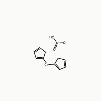 C1=CC[C]([Ce][C]2=CC=CC2)=C1.O=[N+]([O-])O